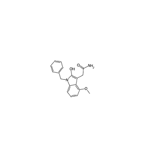 COc1cccc2c1c(CC(N)=O)c(O)n2Cc1ccccc1